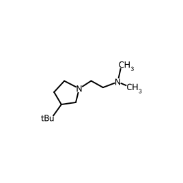 CN(C)CCN1CCC(C(C)(C)C)C1